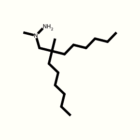 CCCCCCC(C)(CCCCCC)CN(C)N